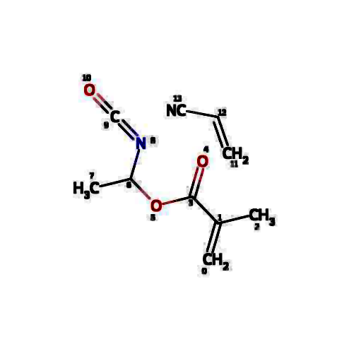 C=C(C)C(=O)OC(C)N=C=O.C=CC#N